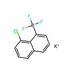 F[B-](F)(F)c1cccc2cccc(Cl)c12.[K+]